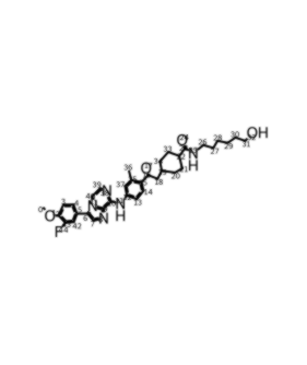 COc1ccc(-c2cnc3c(Nc4ccc(C(=O)CC5CCC(C(=O)NCCCCCCO)CC5)c(C)c4)nccn23)cc1F